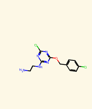 NCCNc1nc(Cl)nc(OCc2ccc(Cl)cc2)n1